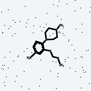 COCOc1cc(N)ccc1N1CCN(C)CC1